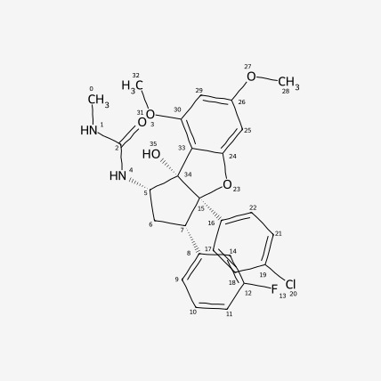 CNC(=O)N[C@H]1C[C@@H](c2cccc(F)c2)[C@]2(c3ccc(Cl)cc3)Oc3cc(OC)cc(OC)c3[C@]12O